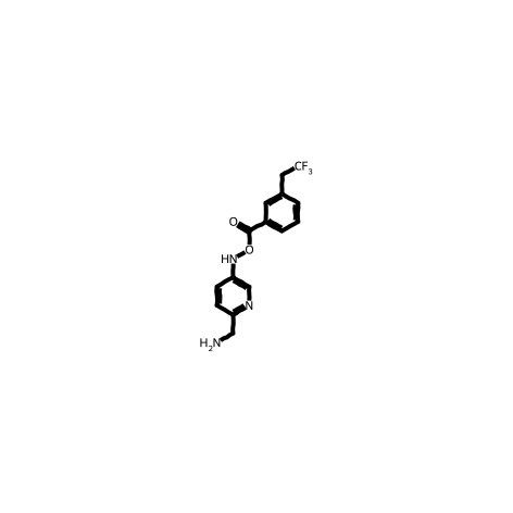 NCc1ccc(NOC(=O)c2cccc(CC(F)(F)F)c2)cn1